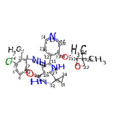 CCc1c(Cl)cccc1Nc1c(-c2ccncc2OC[C@H]2OCC2(C)C)[nH]c2c1C(=O)NCC21CC1